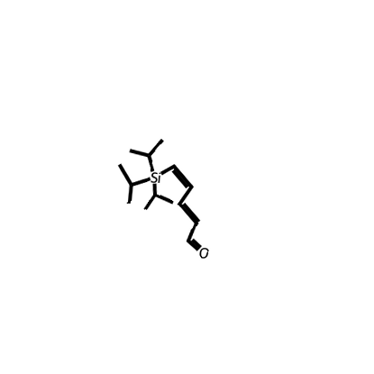 CC(C)[Si](/C=C\C=C\C=O)(C(C)C)C(C)C